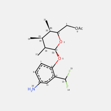 CC(=O)OCC1O[C@@H](Oc2ccc(N)cc2C(F)F)C(C)[C@@H](C)[C@H]1C